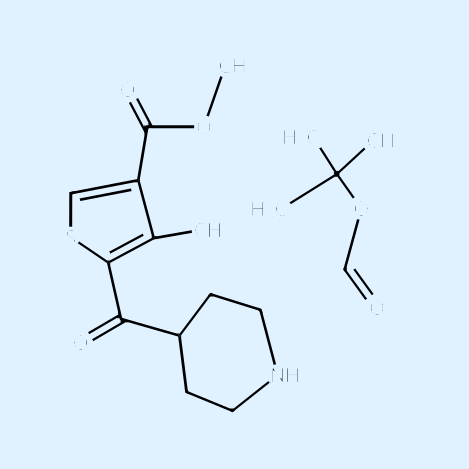 CC(C)(C)OC=O.COC(=O)c1csc(C(=O)C2CCNCC2)c1C